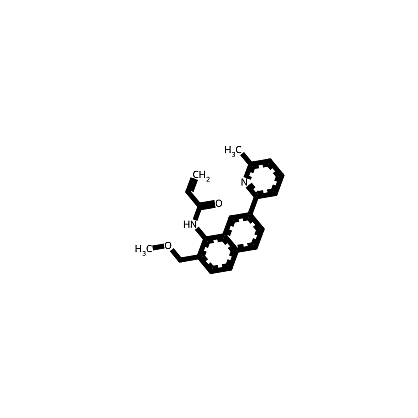 C=CC(=O)Nc1c(COC)ccc2ccc(-c3cccc(C)n3)cc12